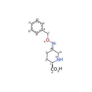 O=C(O)[C@H]1CC/C(=N\OCc2ccccc2)CN1